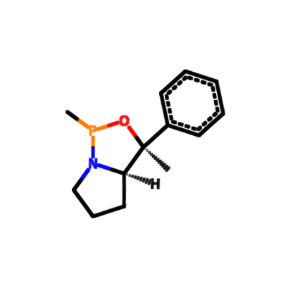 CP1O[C@@](C)(c2ccccc2)[C@H]2CCCN21